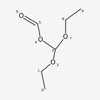 CCOC(OC=O)OCC